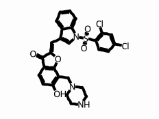 O=C1/C(=C/c2cn(S(=O)(=O)c3ccc(Cl)cc3Cl)c3ccccc23)Oc2c1ccc(O)c2CN1CCNCC1